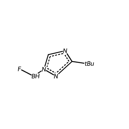 CC(C)(C)c1ncn(BF)n1